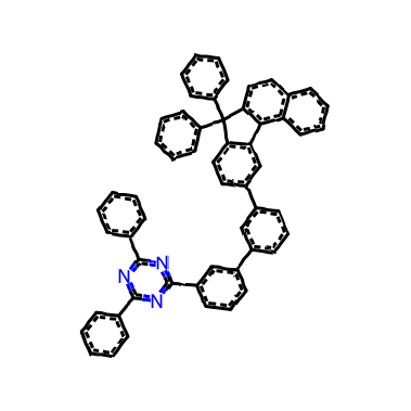 c1ccc(-c2nc(-c3ccccc3)nc(-c3cccc(-c4cccc(-c5ccc6c(c5)-c5c(ccc7ccccc57)C6(c5ccccc5)c5ccccc5)c4)c3)n2)cc1